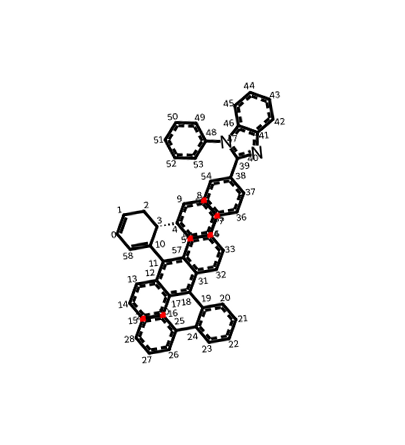 C1=CC[C@H](c2ccccc2)C(c2c3ccccc3c(-c3ccccc3-c3ccccc3)c3ccc(-c4ccc(-c5nc6ccccc6n5-c5ccccc5)cc4)cc23)=C1